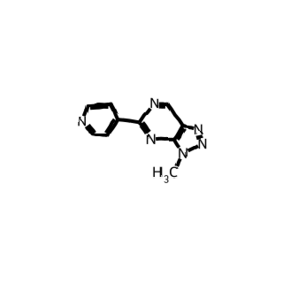 Cn1nnc2cnc(-c3ccncc3)nc21